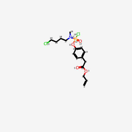 C=CCOC(=O)Cc1ccc(OP(=O)(Cl)N(C)CCCCCl)cc1